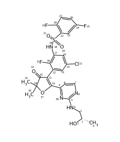 C[C@H](O)CNc1nccc(C2=C(c3cc(Cl)cc(NS(=O)(=O)c4cc(F)ccc4F)c3F)C(=O)C(C)(C)O2)n1